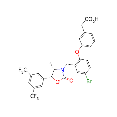 C[C@H]1[C@@H](c2cc(C(F)(F)F)cc(C(F)(F)F)c2)OC(=O)N1Cc1cc(Br)ccc1Oc1cccc(CC(=O)O)c1